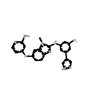 CC(=O)Nc1cc(Oc2ccc3nc(Nc4cc(-c5cn[nH]c5)cc(C(F)(F)F)c4)n(C)c3c2)ccn1